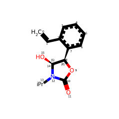 C=Cc1ccccc1[C@H]1OC(=O)N(C(C)C)[C@H]1O